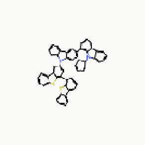 C1=CCC(n2c3ccccc3c3cccc(-c4ccc5c(c4)c4ccccc4n5-c4cc(-c5cccc6c5sc5ccccc56)c5sc6ccccc6c5c4)c32)C=C1